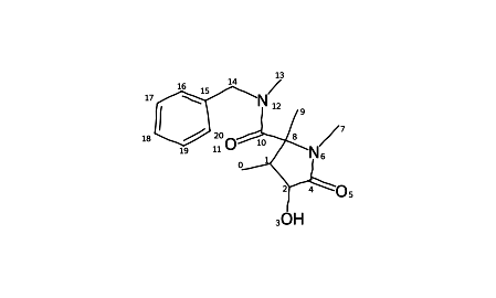 CC1C(O)C(=O)N(C)C1(C)C(=O)N(C)Cc1ccccc1